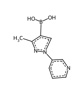 Cc1nn(-c2cccnc2)cc1B(O)O